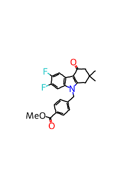 COC(=O)c1ccc(Cn2c3c(c4cc(F)c(F)cc42)C(=O)CC(C)(C)C3)cc1